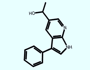 CC(O)c1cnc2[nH]cc(-c3ccccc3)c2c1